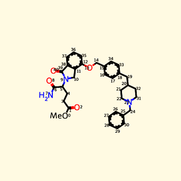 COC(=O)CCC(C(N)=O)N1Cc2c(OCc3ccc(CC4CCN(Cc5ccccc5)CC4)cc3)cccc2C1=O